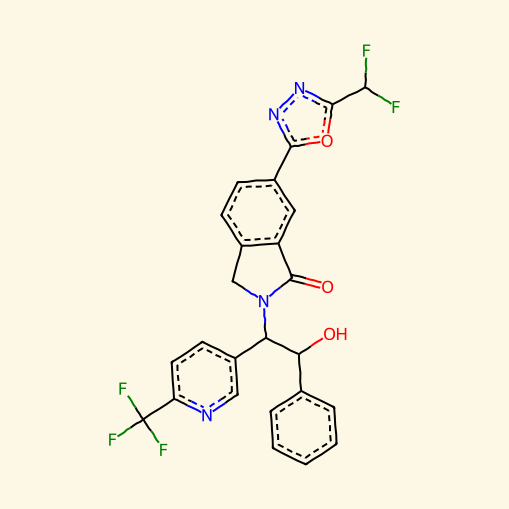 O=C1c2cc(-c3nnc(C(F)F)o3)ccc2CN1C(c1ccc(C(F)(F)F)nc1)C(O)c1ccccc1